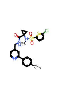 CCN(C1(C(=O)NCc2ccnc(-c3ccc(C(F)(F)F)cc3)c2)CC1)S(=O)(=O)c1ccc(Cl)s1